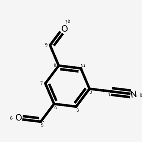 N#Cc1cc([C]=O)cc([C]=O)c1